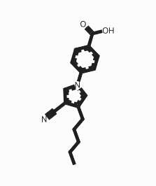 CCCCCc1cn(-c2ccc(C(=O)O)cc2)cc1C#N